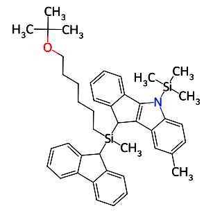 Cc1ccc2c(c1)c1c(n2[Si](C)(C)C)-c2ccccc2C1[Si](C)(CCCCCCOC(C)(C)C)C1c2ccccc2-c2ccccc21